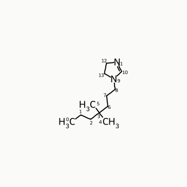 CCCC(C)(C)CCCN1C=NCC1